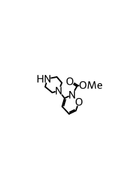 COC(=O)N1OC=CC=C1N1CCNCC1